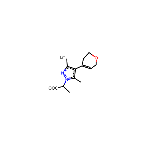 Cc1nn(C(C)C(=O)[O-])c(C)c1C1=CCOCC1.[Li+]